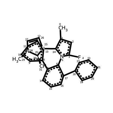 Cc1cc(F)n(-c2c(-c3ccccc3)cccc2-c2ccccc2)c1N1C=CN(C)[C@@H]1C